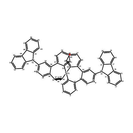 c1ccc2c(c1)-c1cnc(-n3c4ccccc4c4ccccc43)cc1-c1ccccc1[Si]21c2ccccc2-c2cnc(-n3c4ccccc4c4ccccc43)cc2-c2ccccc21